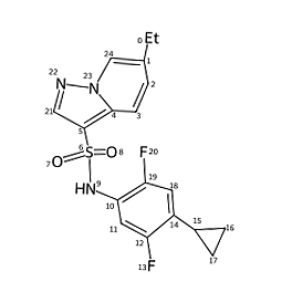 CCc1ccc2c(S(=O)(=O)Nc3cc(F)c(C4CC4)cc3F)cnn2c1